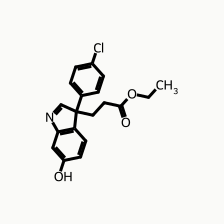 CCOC(=O)CCC1(c2ccc(Cl)cc2)C=Nc2cc(O)ccc21